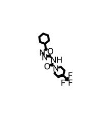 O=C(Nc1nnc(C2CCCCC2)o1)N1CC=C(C(F)(F)F)CC1